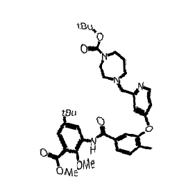 COC(=O)c1cc(C(C)(C)C)cc(NC(=O)c2ccc(C)c(Oc3ccnc(CN4CCCN(C(=O)OC(C)(C)C)CC4)c3)c2)c1OC